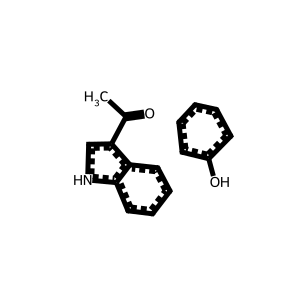 CC(=O)c1c[nH]c2ccccc12.Oc1ccccc1